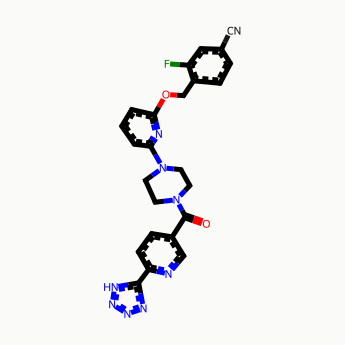 N#Cc1ccc(COc2cccc(N3CCN(C(=O)c4ccc(-c5nnn[nH]5)nc4)CC3)n2)c(F)c1